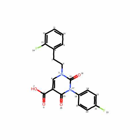 O=C(O)c1cn(CCc2ccccc2F)c(=O)n(-c2ccc(F)cc2)c1=O